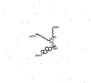 CCCCCCCC/C=C\CCCCCCCC(=O)O[C@H](COC(=O)CCCCCCCCCCCCCCC)COP(=O)(O)C1CC[C@@]2(C)C(CCC3C2CC[C@@]2(C)C3CC[C@@H]2[C@H](C)CCC)C1